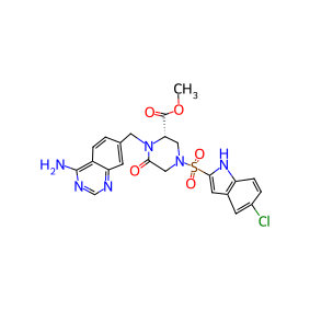 COC(=O)[C@@H]1CN(S(=O)(=O)c2cc3cc(Cl)ccc3[nH]2)CC(=O)N1Cc1ccc2c(N)ncnc2c1